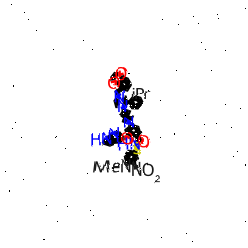 CNc1ccc(SNC(=O)c2ccc(N3CC4(CC(N5CCN(Cc6cccc7c6OCCO7)CC5c5ccccc5C(C)C)C4)C3)cc2Oc2cnc3[nH]ccc3c2)cc1[N+](=O)[O-]